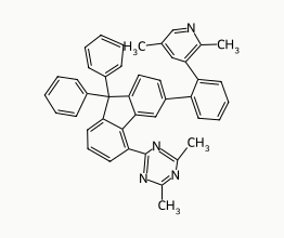 Cc1cnc(C)c(-c2ccccc2-c2ccc3c(c2)-c2c(-c4nc(C)nc(C)n4)cccc2C3(c2ccccc2)c2ccccc2)c1